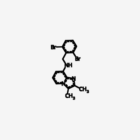 Cc1nc2c(NCc3c(Br)cccc3Br)cccn2c1C